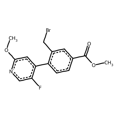 COC(=O)c1ccc(-c2cc(OC)ncc2F)c(CBr)c1